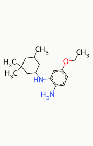 CCOc1ccc(N)c(NC2CC(C)CC(C)(C)C2)c1